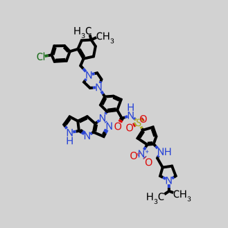 CC(C)N1CCC(CNc2ccc(S(=O)(=O)NC(=O)c3ccc(N4CCN(CC5=C(c6ccc(Cl)cc6)CC(C)(C)CC5)CC4)cc3-n3ncc4nc5[nH]ccc5cc43)cc2[N+](=O)[O-])C1